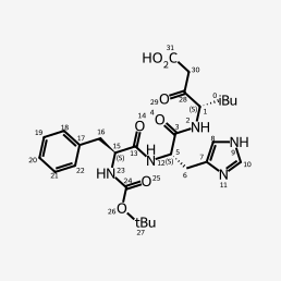 CCC(C)[C@H](NC(=O)[C@H](Cc1c[nH]cn1)NC(=O)[C@H](Cc1ccccc1)NC(=O)OC(C)(C)C)C(=O)CC(=O)O